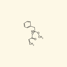 C=CC(=O)O[SiH](Cc1ccccc1)OC